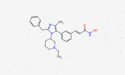 CCN1CCCC(n2c(Cc3ccccc3)nc(C)c2-c2cccc(/C=C/C(=O)NO)c2)C1